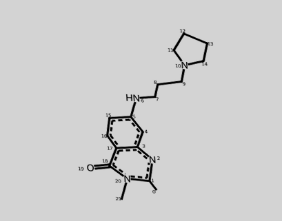 Cc1nc2cc(NCCCN3CCCC3)ccc2c(=O)n1C